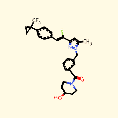 Cc1cc(/C(F)=C/c2ccc(C3(C(F)(F)F)CC3)cc2)nn1Cc1cccc(C(=O)N2CCC(O)CC2)c1